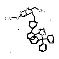 CCOc1cc2n(Cc3ccc(-c4ccccc4-c4nnnn4C(c4ccccc4)(c4ccccc4)c4ccccc4)cc3)c(CC)nn2n1